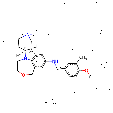 COc1ccc(CNc2cc3c4c(c2)[C@@H]2CNCC[C@@H]2N4CCOC3)cc1C